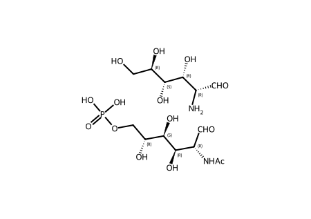 CC(=O)N[C@@H](C=O)[C@@H](O)[C@H](O)[C@H](O)COP(=O)(O)O.N[C@@H](C=O)[C@@H](O)[C@H](O)[C@H](O)CO